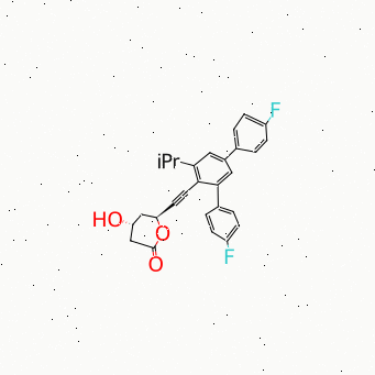 CC(C)c1cc(-c2ccc(F)cc2)cc(-c2ccc(F)cc2)c1C#C[C@@H]1C[C@@H](O)CC(=O)O1